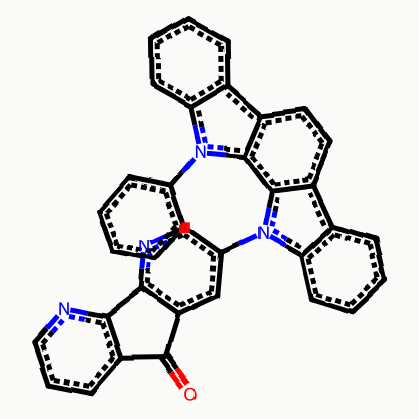 O=C1c2cccnc2-c2ncc(-n3c4ccccc4c4ccc5c6ccccc6n(-c6ccccc6)c5c43)cc21